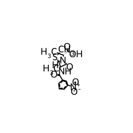 CC1(C)S[C@H]2N(C(=O)C2(C)NC(=O)c2cccc([N+](=O)[O-])c2)[C@H]1C(=O)O